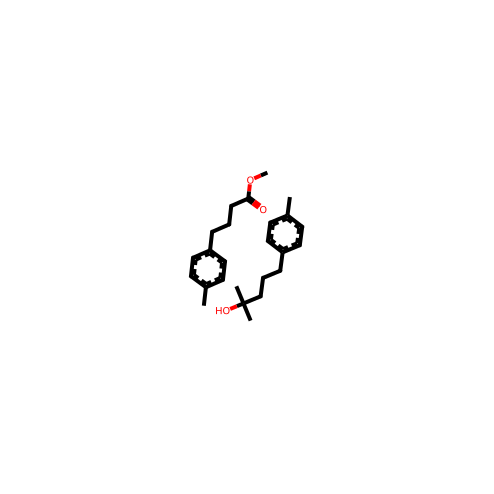 COC(=O)CCCc1ccc(C)cc1.Cc1ccc(CCCC(C)(C)O)cc1